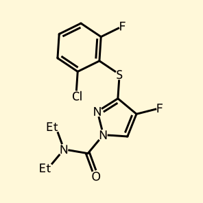 CCN(CC)C(=O)n1cc(F)c(Sc2c(F)cccc2Cl)n1